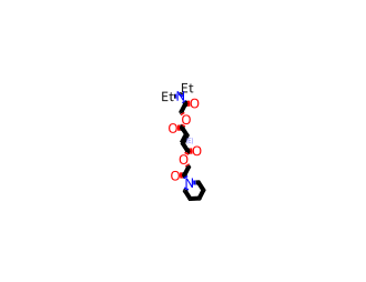 CCN(CC)C(=O)COC(=O)/C=C/C(=O)OCC(=O)N1CCCCC1